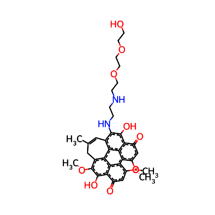 COc1c(O)c2c(=O)cc(OC)c3c4c(OC)cc(=O)c5c(O)c(NCCNCCOCCOCCO)c6c(c(c1CC(C)=C6)c23)c54